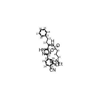 CCN(CC)CCCS(=O)(=O)N[C@H](CCc1ccccc1)c1nc(-c2ccc(C#N)c(Cl)c2)n[nH]1